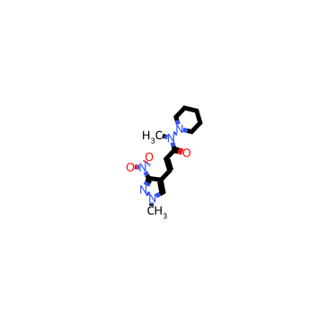 CN(C(=O)C=Cc1cn(C)nc1[N+](=O)[O-])N1CCCCC1